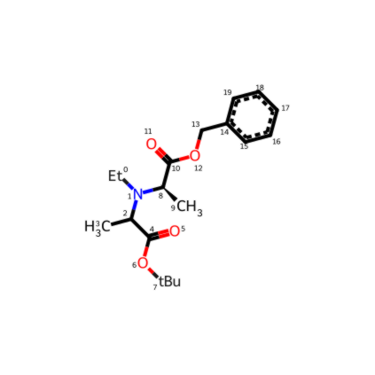 CCN(C(C)C(=O)OC(C)(C)C)[C@H](C)C(=O)OCc1ccccc1